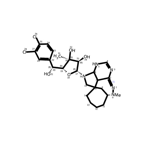 CN/N=C1/N=CNC2C1C1(CCCCCC1)CN2[C@@H]1O[C@H]([C@H](O)c2ccc(Cl)c(Cl)c2)[C@@](C)(O)[C@H]1O